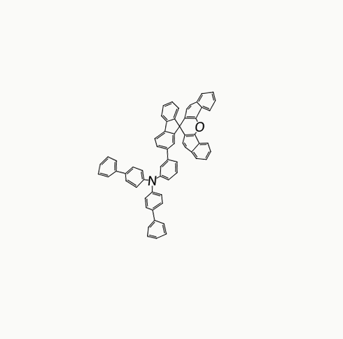 c1ccc(-c2ccc(N(c3ccc(-c4ccccc4)cc3)c3cccc(-c4ccc5c(c4)C4(c6ccccc6-5)c5ccc6ccccc6c5Oc5c4ccc4ccccc54)c3)cc2)cc1